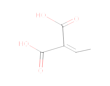 CC=C(C(=O)O)C(=O)O